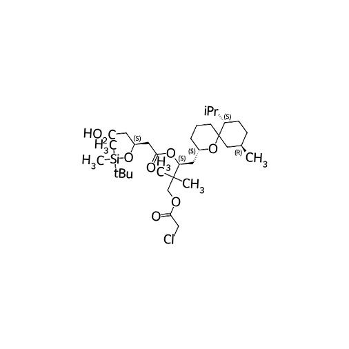 CC(C)[C@@H]1CC[C@@H](C)CC12CCC[C@@H](C[C@H](OC(=O)C[C@H](CC(=O)O)O[Si](C)(C)C(C)(C)C)C(C)(C)COC(=O)CCl)O2